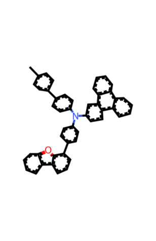 Cc1ccc(-c2ccc(N(c3ccc(-c4cccc5c4oc4ccccc45)cc3)c3ccc4c5ccccc5c5ccccc5c4c3)cc2)cc1